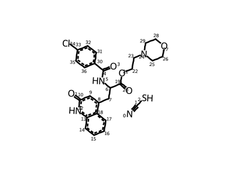 N#CS.O=C(NC(Cc1cc(=O)[nH]c2ccccc12)C(=O)OCCN1CCOCC1)c1ccc(Cl)cc1